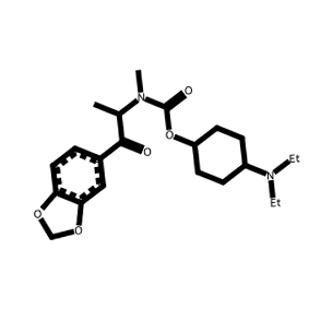 CCN(CC)C1CCC(OC(=O)N(C)C(C)C(=O)c2ccc3c(c2)OCO3)CC1